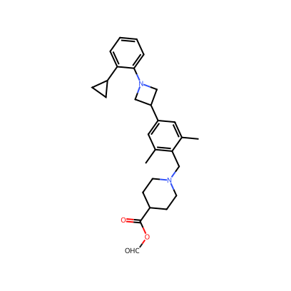 Cc1cc(C2CN(c3ccccc3C3CC3)C2)cc(C)c1CN1CCC(C(=O)OC=O)CC1